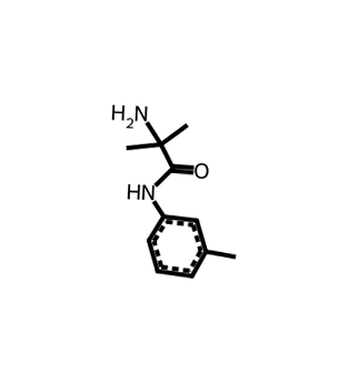 Cc1cccc(NC(=O)C(C)(C)N)c1